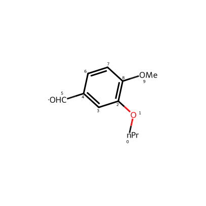 CCCOc1cc([C]=O)ccc1OC